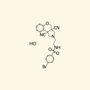 Cl.N#CC12COc3ccccc3C1(C#N)CN(CCNS(=O)(=O)c1ccc(Br)cc1)C2